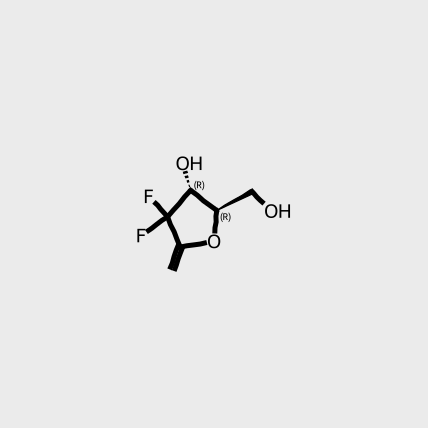 C=C1O[C@H](CO)[C@@H](O)C1(F)F